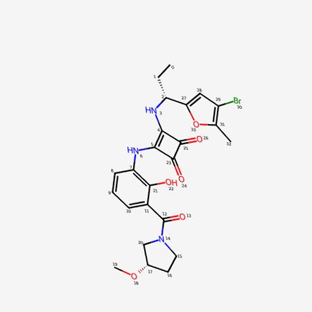 CC[C@@H](Nc1c(Nc2cccc(C(=O)N3CC[C@H](OC)C3)c2O)c(=O)c1=O)c1cc(Br)c(C)o1